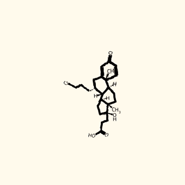 C[C@]12C=CC(=O)C=C1C[C@@H](CCCCl)[C@@H]1[C@@H]2CC[C@@]2(C)[C@H]1CC[C@@]2(O)CCC(=O)O